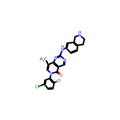 Cc1cn(-c2cc(Cl)ccc2Cl)c(=O)c2cnc(Nc3ccc4c(c3)CNCC4)nc12